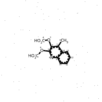 Cc1c(OC(=O)O)c(OC(=O)O)nc2ccccc12